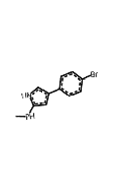 CPc1cc(-c2ccc(Br)cc2)c[nH]1